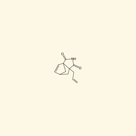 C=CCC12CC3C=CC1(C3)C(=O)NC2=O